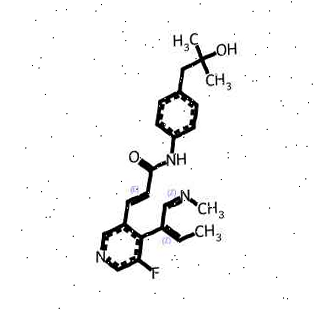 C/C=C(\C=N/C)c1c(F)cncc1/C=C/C(=O)Nc1ccc(CC(C)(C)O)cc1